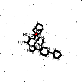 N#Cc1c(C2CC3CCC(C2)N3C(=O)c2nc[nH]n2)nc2c(-c3ccc(-c4ccccc4)nc3)cnn2c1N